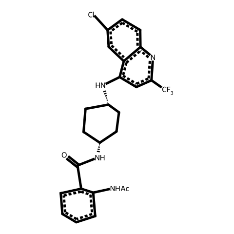 CC(=O)Nc1ccccc1C(=O)N[C@H]1CC[C@@H](Nc2cc(C(F)(F)F)nc3ccc(Cl)cc23)CC1